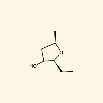 CC[C@@H]1O[C@H](C)CC1O